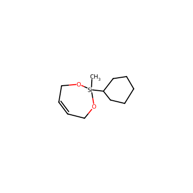 C[Si]1(C2CCCCC2)OCC=CCO1